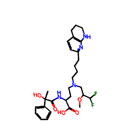 COC(CN(CCCCc1ccc2c(n1)NCCC2)CCC(NC(=O)C(C)(O)c1ccccc1)C(=O)O)C(F)F